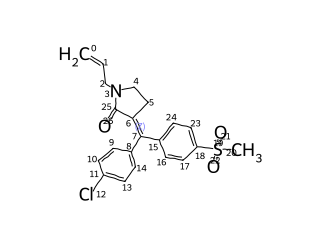 C=CCN1CC/C(=C(/c2ccc(Cl)cc2)c2ccc(S(C)(=O)=O)cc2)C1=O